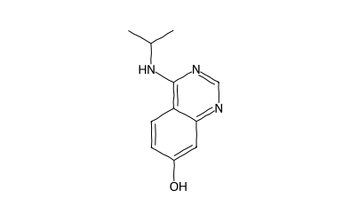 CC(C)Nc1ncnc2cc(O)ccc12